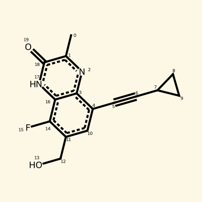 Cc1nc2c(C#CC3CC3)cc(CO)c(F)c2[nH]c1=O